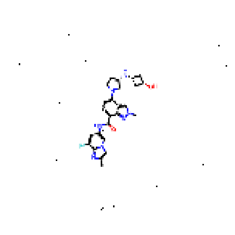 Cc1cn2cc(NC(=O)c3ccc(N4CC[C@H](N[C@H]5C[C@H](O)C5)C4)c4cn(C)nc34)cc(F)c2n1